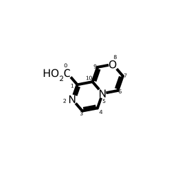 O=C(O)C1=NC=CN2C=COC=C12